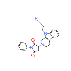 N#CCCn1c2c(c3ccccc31)CCN(C1CC(=O)N(c3ccccc3)C1=O)C2